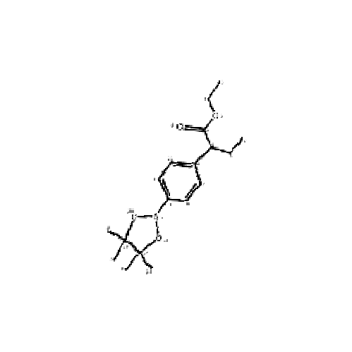 CCOC(=O)C(CC)c1ccc(B2OC(C)(C)C(C)(C)O2)cc1